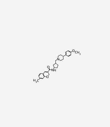 COc1ccc(C2CCN(CC3CCC(NC(=O)C4=Cc5ccc(C)cc5OC4)C3)CC2)cc1